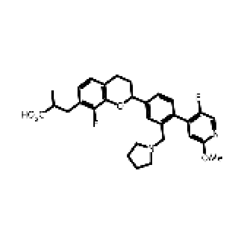 COc1cc(-c2ccc(C3CCc4ccc(CC(C)C(=O)O)c(F)c4O3)cc2CN2CCCC2)c(F)cn1